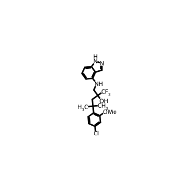 COc1cc(Cl)ccc1C(C)(C)CC(O)(CNc1cccc2[nH]ncc12)C(F)(F)F